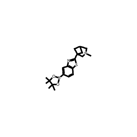 CN1CC2CC(c3nc4cc(B5OC(C)(C)C(C)(C)O5)ccc4s3)(C2)C1